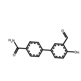 NC(=O)c1ccc(-c2ccc(O)c(C=O)c2)cc1